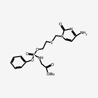 CC(C)COC(=O)CNP(=O)(OCCSCn1ccc(N)nc1=O)Oc1ccccc1